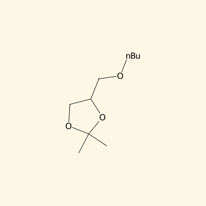 CCCCOCC1COC(C)(C)O1